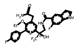 CCOc1c(CC(N)=O)cc([C@@](O)(CNC(=O)c2cc3cc[nH]c3cc2F)C(F)(F)F)nc1-c1ccc(F)cc1